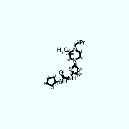 CC(C)CN1CCN(c2nnc(NC(=O)NC3CCCC3)s2)C[C@H]1C